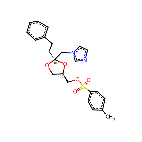 Cc1ccc(S(=O)(=O)OC[C@H]2CO[C@@](CCc3ccccc3)(Cn3ccnc3)O2)cc1